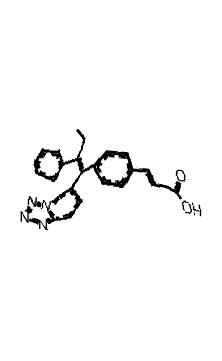 CCC(=C(c1ccc(C=CC(=O)O)cc1)c1ccc2nnnn2c1)c1ccccc1